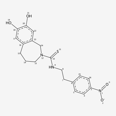 O=[N+]([O-])c1ccc(CCNC(=S)N2CCCc3cc(O)c(O)cc3C2)cc1